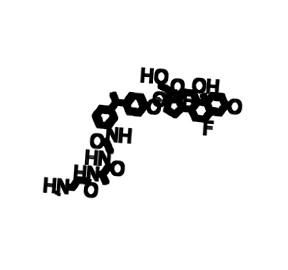 CNCCC(=O)NC(C)C(=O)NCC(=O)Nc1cccc(C(C)c2ccc(OOC3(C(=O)CO)CCC4C5C[C@H](F)C6=CC(=O)C=CC6(C)[C@@]5(F)C(O)CC43C)cc2)c1